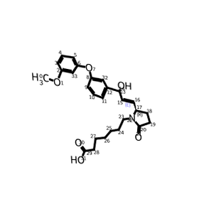 COc1cccc(Oc2cccc(C(O)/C=C/[C@H]3CCC(=O)N3CCCCCCC(=O)O)c2)c1